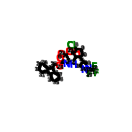 O=C(N[C@@H](Cc1cc(Cl)ccc1-c1cnn(C(F)(F)F)c1)C(=O)O)OCC1c2ccccc2-c2ccccc21